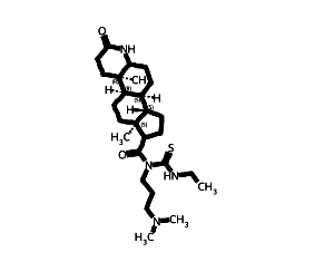 CCNC(=S)N(CCCN(C)C)C(=O)C1CC[C@H]2[C@@H]3CCC4NC(=O)CC[C@]4(C)[C@@H]3CC[C@]12C